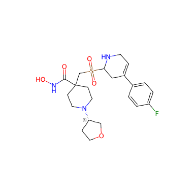 O=C(NO)C1(CS(=O)(=O)C2CC(c3ccc(F)cc3)=CCN2)CCN([C@H]2CCOC2)CC1